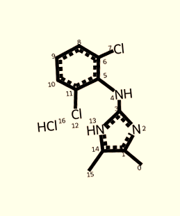 Cc1nc(Nc2c(Cl)cccc2Cl)[nH]c1C.Cl